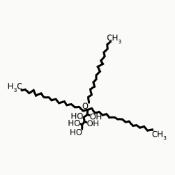 CCCCCCCCCCCCCCCCCCOC(CCCCCCCCCCCCCCCCCC)(CCCCCCCCCCCCCCCCCC)C(O)C(O)C(O)C(O)CO